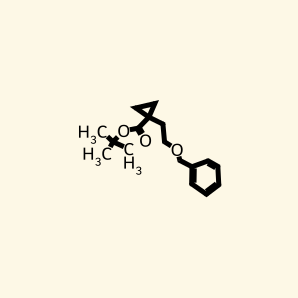 CC(C)(C)OC(=O)C1(CCOCc2ccccc2)CC1